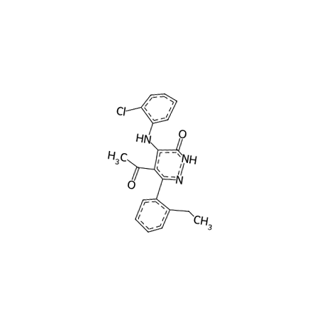 CCc1ccccc1-c1n[nH]c(=O)c(Nc2ccccc2Cl)c1C(C)=O